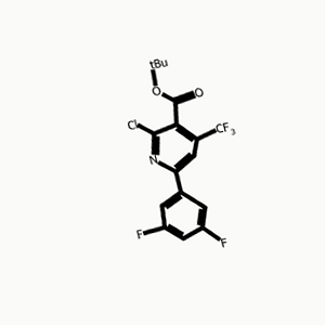 CC(C)(C)OC(=O)c1c(C(F)(F)F)cc(-c2cc(F)cc(F)c2)nc1Cl